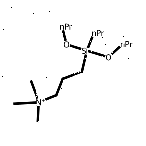 CCCO[Si](CCC)(CCC[N+](C)(C)C)OCCC